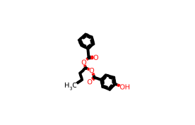 CCCC(OC(=O)c1ccccc1)OC(=O)c1ccc(O)cc1